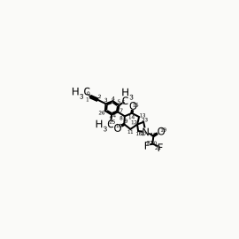 CC#Cc1cc(C)c(C2C(=O)CC3(CC2=O)CN(C(=O)C(F)F)C3)c(C)c1